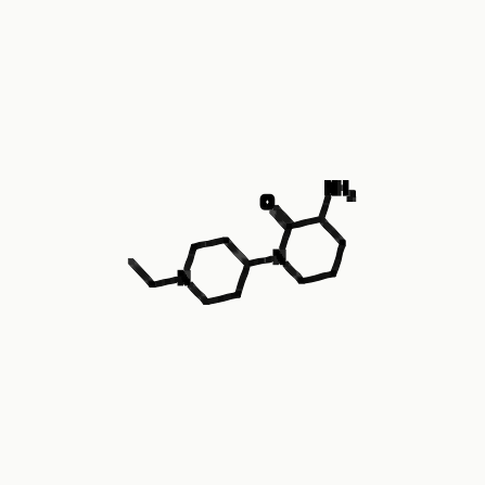 CCN1CCC(N2CCCC(N)C2=O)CC1